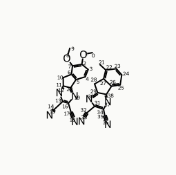 COc1ccc2c(c1OC)Cc1nc(C#N)c(C#N)nc1-2.Cc1cccc2c1Cc1nc(C#N)c(C#N)nc1-2